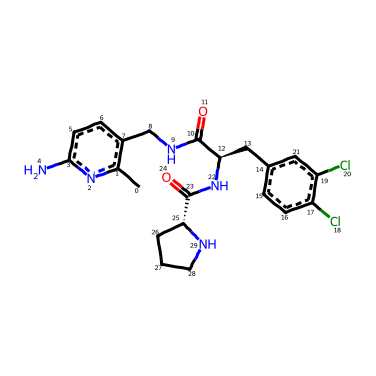 Cc1nc(N)ccc1CNC(=O)[C@@H](Cc1ccc(Cl)c(Cl)c1)NC(=O)[C@H]1CCCN1